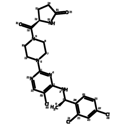 C[C@@H](Nc1nc(N2CCN(C(=O)[C@H]3CCC(=O)N3)CC2)ncc1Cl)c1ccc(Cl)cc1Cl